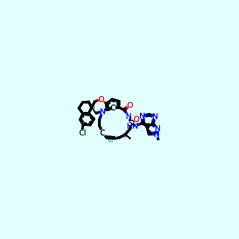 C[C@H]1C/C=C\CCCN2C[C@@]3(CCCc4cc(Cl)ccc43)COc3ccc(cc32)C(=O)N=S(=O)(Nc2ncnc3nn(C)cc23)C1